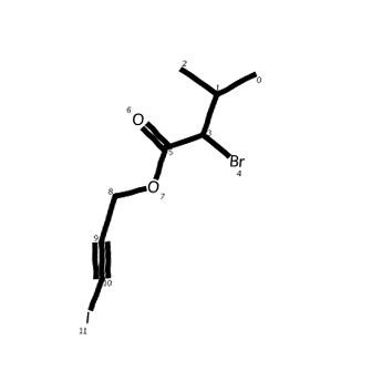 CC(C)C(Br)C(=O)OCC#CI